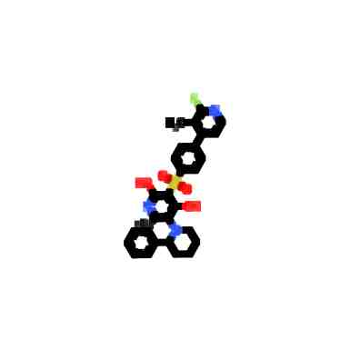 CCCCc1nc(O)c(S(=O)(=O)c2ccc(-c3ccnc(F)c3C)cc2)c(O)c1N1CCCCC1c1ccccc1